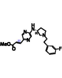 COC(=O)/C=C/c1cnc(N[C@@H]2CCN(CCc3cccc(F)c3)C2)cn1